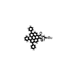 CCCCC(CC)Cn1c(=O)c2c3ccc4c(-c5ccccc5)ccc5c6c(-c7ccccc7)cc(-c7ccccc7)c7ccc(c2c1=O)c(c76)c3c45